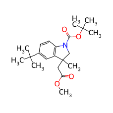 COC(=O)CC1(C)CN(C(=O)OC(C)(C)C)c2ccc(C(C)(C)C)cc21